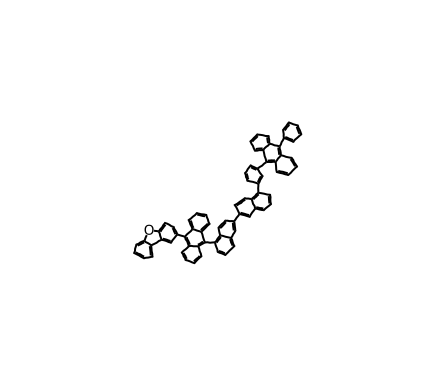 c1ccc(-c2c3ccccc3c(-c3cccc(-c4cccc5cc(-c6ccc7c(-c8c9ccccc9c(-c9ccc%10oc%11ccccc%11c%10c9)c9ccccc89)cccc7c6)ccc45)c3)c3ccccc23)cc1